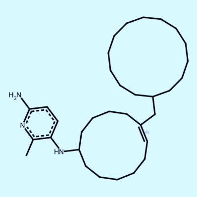 Cc1nc(N)ccc1NC1CCCCC/C=C(/CC2CCCCCCCCCCCCC2)CCCC1